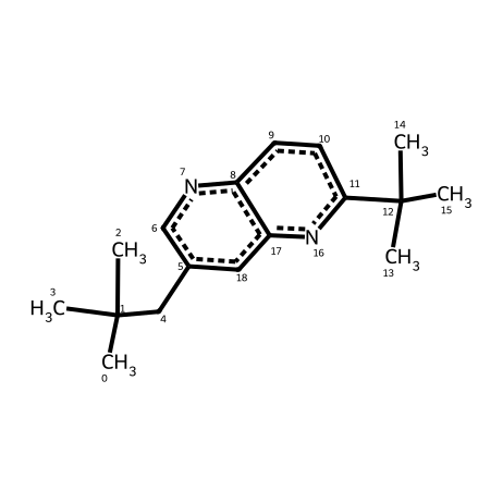 CC(C)(C)Cc1cnc2ccc(C(C)(C)C)nc2c1